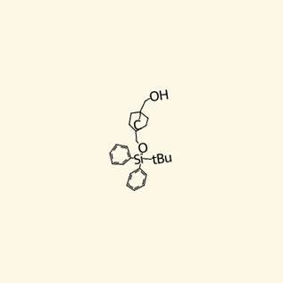 CC(C)(C)[Si](OCC12CCC(CO)(CC1)CC2)(c1ccccc1)c1ccccc1